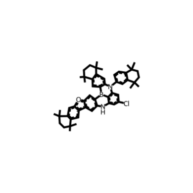 CC1(C)CCC(C)(C)c2cc(N3c4cc5c(cc4B4c6cc7oc8cc9c(cc8c7cc6Nc6cc(Cl)cc3c64)C(C)(C)CCC9(C)C)C(C)(C)CCC5(C)C)ccc21